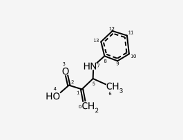 C=C(C(=O)O)C(C)Nc1ccccc1